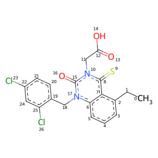 CCc1cccc2c1c(=S)n(CC(=O)O)c(=O)n2Cc1ccc(Cl)cc1Cl